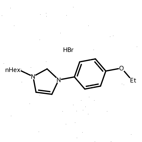 Br.CCCCCCN1C=CN(c2ccc(OCC)cc2)C1